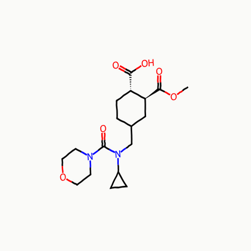 COC(=O)[C@H]1CC(CN(C(=O)N2CCOCC2)C2CC2)CC[C@@H]1C(=O)O